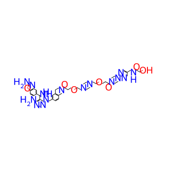 N=C(c1ccc2oc(N)nc2c1)c1c(N)ncnc1NCc1ccc2c(c1)CCN(C(=O)CCOCCN1CCN(CCOCCC(=O)N3CCN(c4ncc(CNC(=O)CO)cn4)CC3)CC1)C2